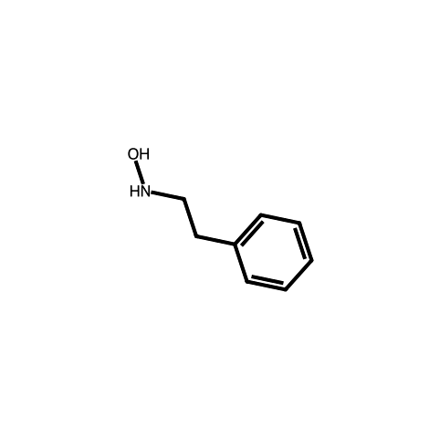 ONCCc1ccccc1